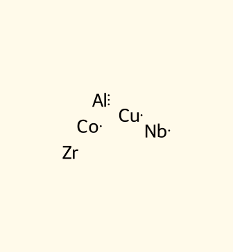 [Al].[Co].[Cu].[Nb].[Zr]